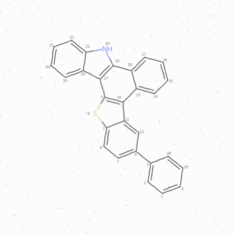 c1ccc(-c2ccc3sc4c(c3c2)c2ccccc2c2[nH]c3ccccc3c24)cc1